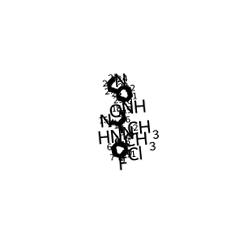 CN(C)C(Nc1ccc(F)c(Cl)c1)C(C#N)=CC(=O)Nc1ccc2ncccc2c1